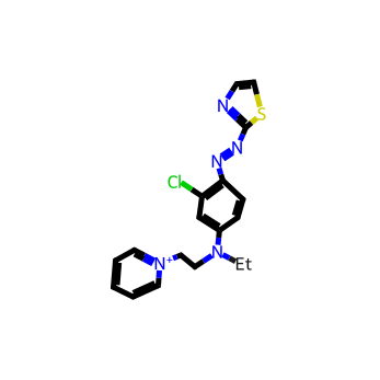 CCN(CC[n+]1ccccc1)c1ccc(/N=N/c2nccs2)c(Cl)c1